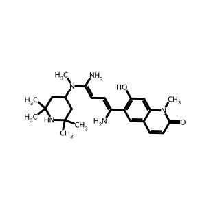 CN(/C(N)=C/C=C(\N)c1cc2ccc(=O)n(C)c2cc1O)C1CC(C)(C)NC(C)(C)C1